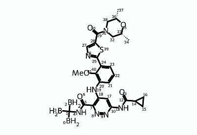 BC(B)(B)NC(=O)c1nnc(NC(=O)C2CC2)cc1Nc1cccc(-c2ncc(C(=O)N3C[C@@H](C)O[C@@H](C)C3)s2)c1OC